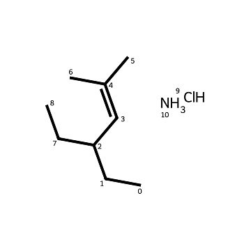 CCC(C=C(C)C)CC.Cl.N